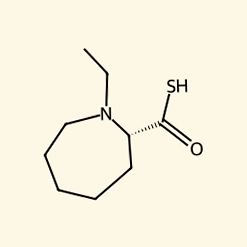 CCN1CCCCC[C@H]1C(=O)S